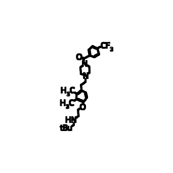 Cc1c(CCN2CCN(C(=O)c3ccc(C(F)(F)F)cc3)CC2)ccc(OCCNCC(C)(C)C)c1C